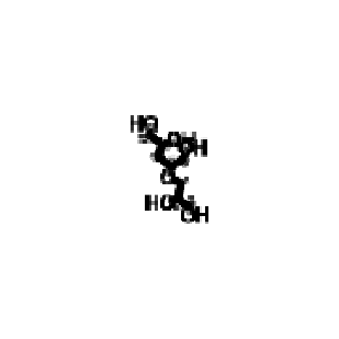 OCC(O)COC(CO)CC(O)CO